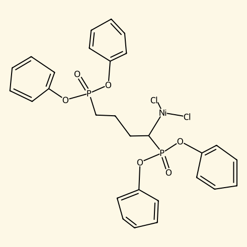 O=P(CCC[CH]([Ni]([Cl])[Cl])P(=O)(Oc1ccccc1)Oc1ccccc1)(Oc1ccccc1)Oc1ccccc1